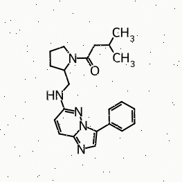 CC(C)CC(=O)N1CCCC1CNc1ccc2ncc(-c3ccccc3)n2n1